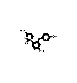 Nc1ccc(-n2ccc(N)nc2=O)c(Cc2ccc(O)cc2)c1